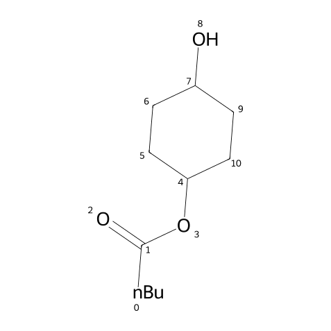 CCCCC(=O)OC1CCC(O)CC1